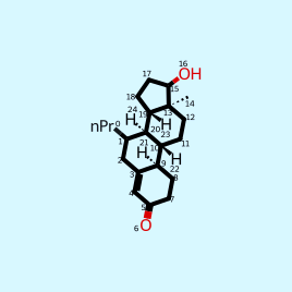 CCCC1CC2=CC(=O)CC[C@@H]2[C@H]2CC[C@]3(C)C(O)CC[C@H]3[C@H]12